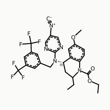 [C-]#[N+]c1cnc(N(Cc2cc(C(F)(F)F)cc(C(F)(F)F)c2)[C@H]2CC(CC)N(C(=O)OCC)c3ccc(OC)cc32)nc1